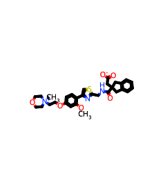 COc1cc(OCC[N+]2(C)CCOCC2)ccc1-c1csc(CNC(=O)C2(CC(=O)[O-])Cc3ccccc3C2)n1